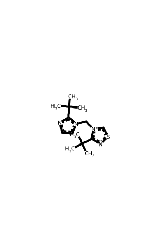 CC(C)(C)c1nccn1C[n+]1csnc1C(C)(C)C